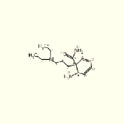 CCN(CC)CCCC1(C(N)=O)C=CC=CC1N